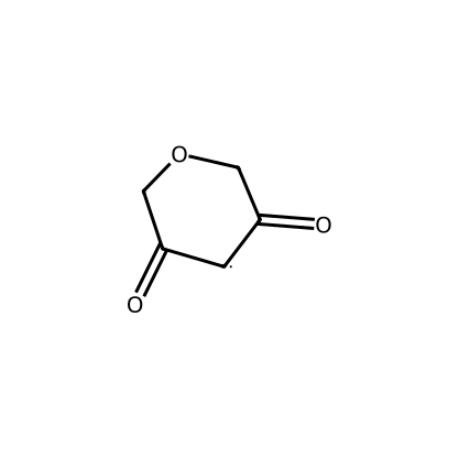 O=C1[CH]C(=O)COC1